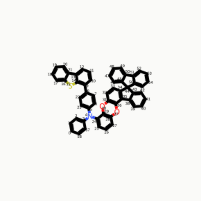 c1ccc(N(c2ccc(-c3cccc4c3sc3ccccc34)cc2)c2cccc3c2Oc2ccc4c(c2O3)-c2ccccc2C42c3ccccc3-c3ccccc32)cc1